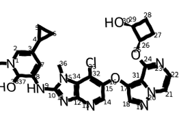 CN1C=C(C2CC2)C=C(Nc2nc3ncc(Oc4cnn5ccnc(O[C@@H]6CC[C@@H]6O)c45)c(Cl)c3n2C)C1O